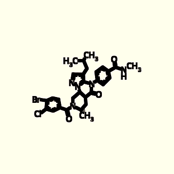 CNC(=O)c1ccc(N2C(=O)C3C[C@H](C)N(C(=O)c4ccc(Br)c(Cl)c4)CC3n3ncc(CC(C)C)c32)cc1